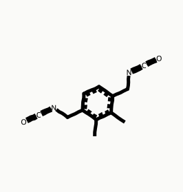 Cc1c(CN=C=O)ccc(CN=C=O)c1C